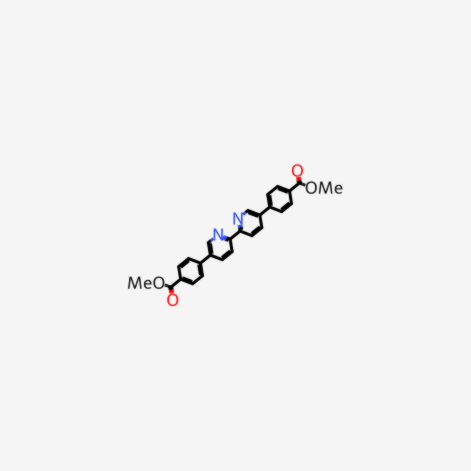 COC(=O)c1ccc(-c2ccc(-c3ccc(-c4ccc(C(=O)OC)cc4)cn3)nc2)cc1